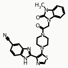 Cn1c(=O)n(CC(=O)N2CCN(c3scnc3-c3nc4cc(C#N)ccc4[nH]3)CC2)c2ccccc21